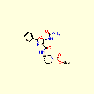 CC(C)(C)OC(=O)N1CCC[C@H](NC(=O)c2nc(-c3ccccc3)oc2NC(N)=O)C1